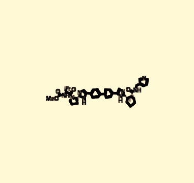 COC(=O)NC(C(=O)N1CCC[C@H]1c1ncc(-c2ccc(-c3ccc(-c4cnc([C@H]5CCCC[C@H]5C(=O)NCc5cccnc5)[nH]4)cc3)cc2)[nH]1)C(C)C